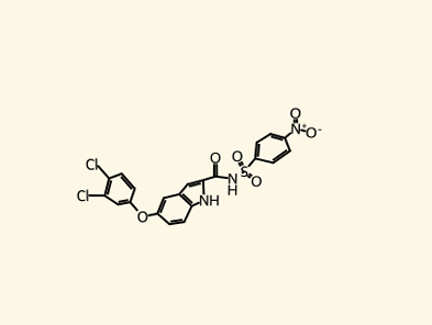 O=C(NS(=O)(=O)c1ccc([N+](=O)[O-])cc1)c1cc2cc(Oc3ccc(Cl)c(Cl)c3)ccc2[nH]1